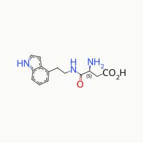 N[C@@H](CC(=O)O)C(=O)NCCc1cccc2[nH]ccc12